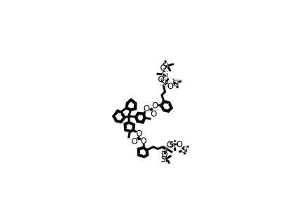 Cc1ccc(C2(c3ccc(C)c(OC(=O)Oc4ccccc4CCC[Si](C)(O[Si](C)(C)C)O[Si](C)(C)O[Si](C)(C)C)c3)c3ccccc3-c3ccccc32)cc1OC(=O)Oc1ccccc1CCC[Si](C)(O[Si](C)(C)C)O[Si](C)(C)O[Si](C)(C)C